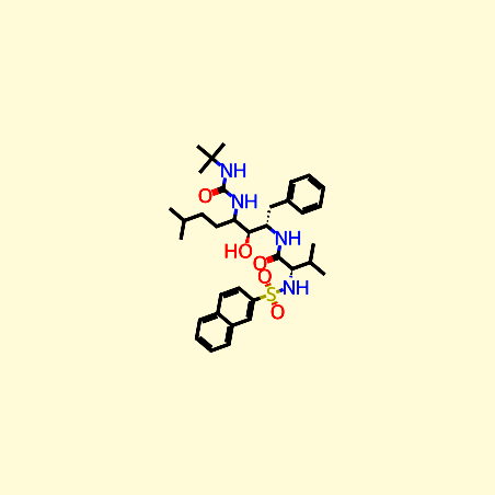 CC(C)CCC(NC(=O)NC(C)(C)C)[C@H](O)[C@H](Cc1ccccc1)NC(=O)[C@@H](NS(=O)(=O)c1ccc2ccccc2c1)C(C)C